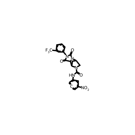 O=C1C2C3CC(CN3C(=O)Nc3cccc([N+](=O)[O-])c3)N2C(=O)N1c1cccc(C(F)(F)F)c1